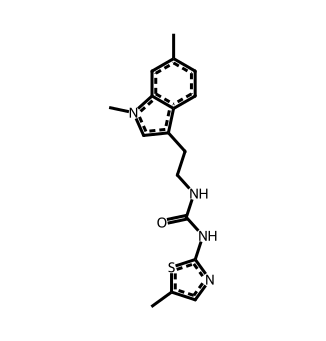 Cc1ccc2c(CCNC(=O)Nc3ncc(C)s3)cn(C)c2c1